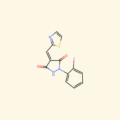 O=C1NN(c2ccccc2I)C(=O)C1=Cc1nccs1